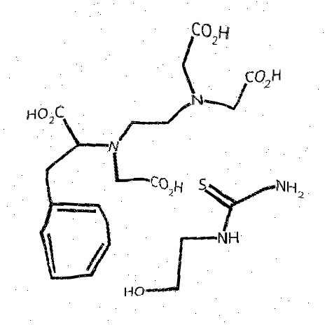 NC(=S)NCCO.O=C(O)CN(CCN(CC(=O)O)C(Cc1ccccc1)C(=O)O)CC(=O)O